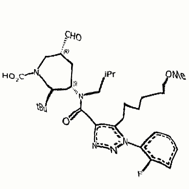 COCCCCc1c(C(=O)N(CC(C)C)[C@H]2C[C@@H](C=O)CN(C(=O)O)C2C(C)(C)C)nnn1-c1ccccc1F